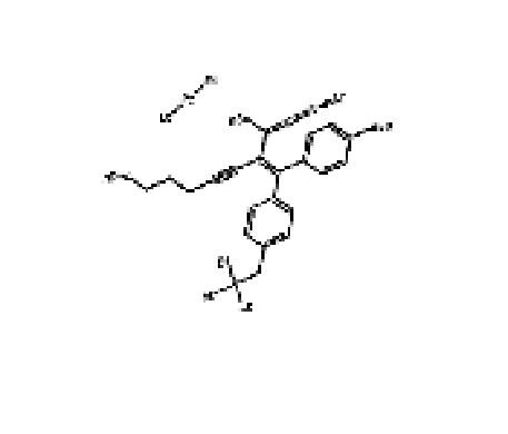 CCCCCCCCCCCCCC#CC(C(=C=[N+]=[N-])CCCC)=C(c1ccc(CCCC)cc1)c1ccc(C[Si](CC)(CC)CC)cc1.C[CH2][Pd][CH2]C